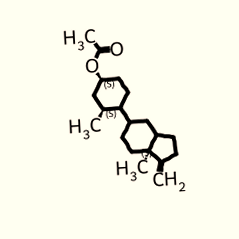 C=C1CCC2CC(C3CC[C@H](OC(C)=O)C[C@@H]3C)CC[C@]12C